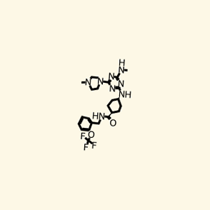 CNc1nc(N[C@H]2CC[C@H](C(=O)NCc3ccccc3OC(F)(F)F)CC2)nc(N2CCN(C)CC2)n1